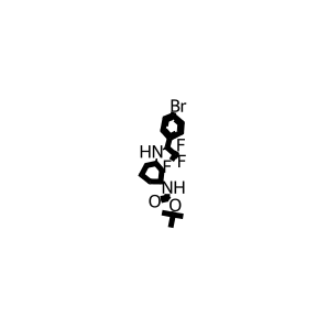 CC(C)(C)OC(=O)N[C@@H]1CCC[C@H](N[C@H](c2ccc(Br)cc2)C(F)(F)F)C1